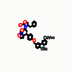 COc1ccc(F)c(-c2cc(COc3ccc([C@H](CC(=O)N4C(=O)OCC4Cc4ccccc4)c4ccon4)cc3)ccc2C(C)(C)C)c1